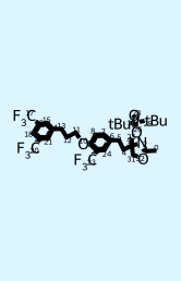 CC1=NC(CCc2ccc(OCCCc3cc(C(F)(F)F)cc(C(F)(F)F)c3)c(C(F)(F)F)c2)(COP(=O)(C(C)(C)C)C(C)(C)C)CO1